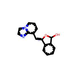 OC1O/C(=C\c2cccn3ccnc23)c2ccccc21